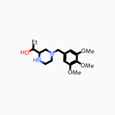 CCC(O)C1CN(Cc2cc(OC)c(OC)c(OC)c2)CCN1